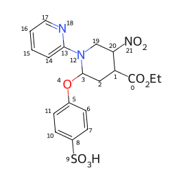 CCOC(=O)C1CC(Oc2ccc(S(=O)(=O)O)cc2)N(c2ccccn2)CC1[N+](=O)[O-]